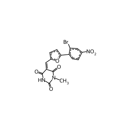 CN1C(=O)NC(=O)/C(=C/c2ccc(-c3ccc([N+](=O)[O-])cc3Br)o2)C1=O